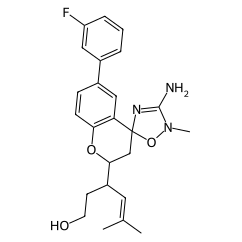 CC(C)=CC(CCO)C1CC2(N=C(N)N(C)O2)c2cc(-c3cccc(F)c3)ccc2O1